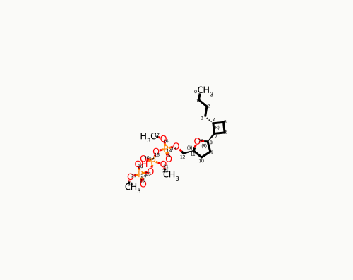 CCCC[C@@H]1CCC1[C@H]1CC[C@@H](COP(=O)(OC)OP(=O)(OC)OP(=O)(O)OC)O1